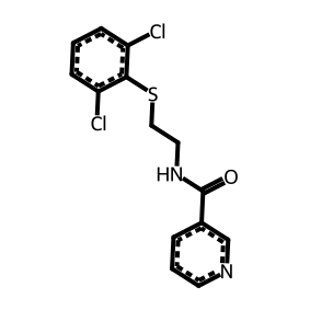 O=C(NCCSc1c(Cl)cccc1Cl)c1cccnc1